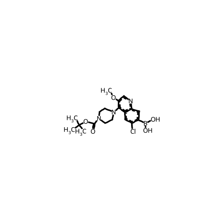 COc1cnc2cc(B(O)O)c(Cl)cc2c1N1CCN(C(=O)OC(C)(C)C)CC1